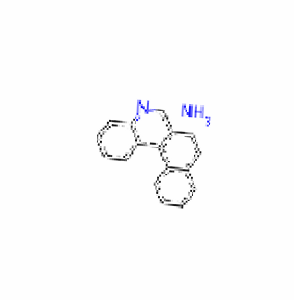 N.c1ccc2c(c1)ccc1cnc3ccccc3c12